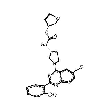 O=C(N[C@@H]1CCN(c2nc(-c3ccccc3O)nc3ccc(F)cc23)C1)O[C@@H]1CCOC1